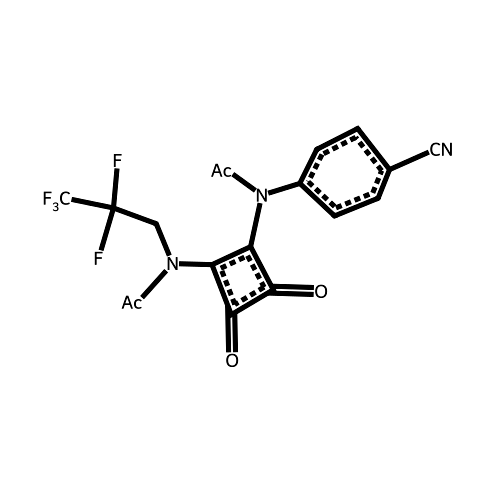 CC(=O)N(CC(F)(F)C(F)(F)F)c1c(N(C(C)=O)c2ccc(C#N)cc2)c(=O)c1=O